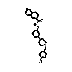 O=C(NCc1cccc(C2CCN(Cc3ccc(Cl)cc3)CC2)c1)c1ccc2ccccc2c1